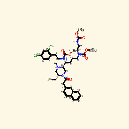 CC(C)C[C@@H]1CN(C[C@H](Cc2ccc(Cl)cc2Cl)NC(=O)OC(C)(C)C)[C@@H](CCCCN(CCNC(=O)OC(C)(C)C)C(=O)OC(C)(C)C)CN1C(=O)Cc1ccc2ccccc2c1